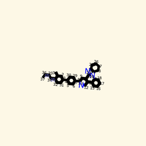 C=c1cc(-c2ccc(-c3cc4c(cn3)c3ccccc3n3c5c(nc43)C=CCC5)cc2)cc/c1=C/C=C\C